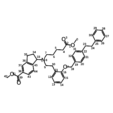 COC(=O)CCCCN(CCc1ccccc1OCc1ccc(CCc2ccccc2)cc1)C1CCc2cc(C(=O)OC)ccc21